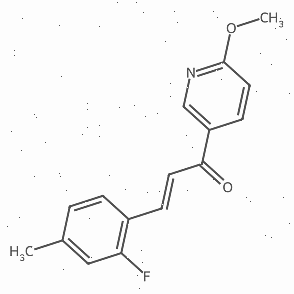 COc1ccc(C(=O)C=Cc2ccc(C)cc2F)cn1